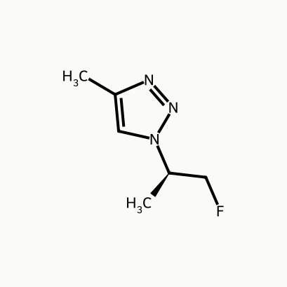 Cc1cn([C@H](C)CF)nn1